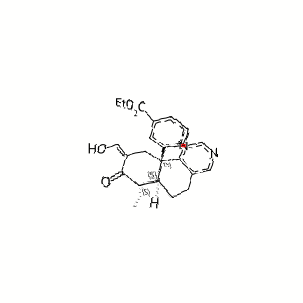 CCOC(=O)c1cccc([C@]23CC(=CO)C(=O)[C@@H](C)[C@@H]2CCc2cncnc23)c1